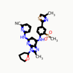 Cc1csc(-c2ccc(Nc3cc(Nc4cccc(C#N)n4)nc4c3nc(C)n4C3CCCCO3)c(S(C)(=O)=O)c2)n1